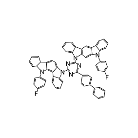 Fc1ccc(N2c3c(ccc4c3c3ccccc3n4-c3nc(-c4ccc(-c5ccccc5)cc4)nc(-n4c5ccccc5c5cc6c7ccccc7n(-c7ccc(F)cc7)c6cc54)n3)C3C=CC=CC32)cc1